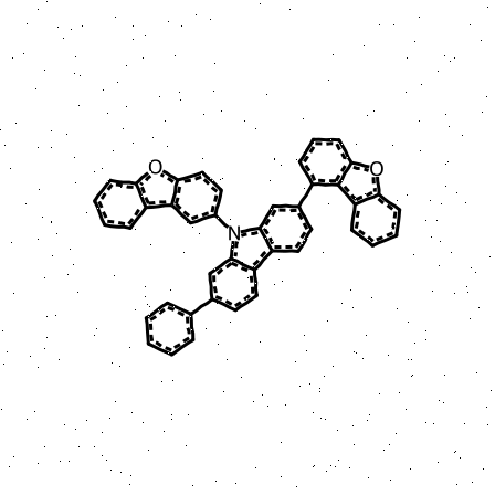 c1ccc(-c2ccc3c4ccc(-c5cccc6oc7ccccc7c56)cc4n(-c4ccc5oc6ccccc6c5c4)c3c2)cc1